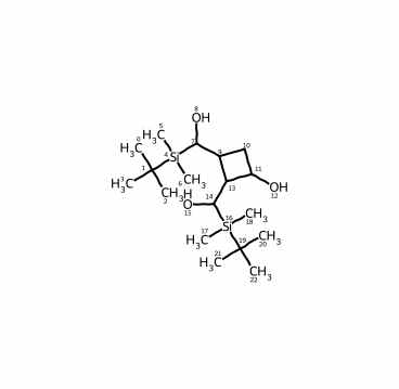 CC(C)(C)[Si](C)(C)C(O)C1CC(O)C1C(O)[Si](C)(C)C(C)(C)C